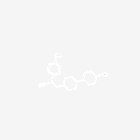 C#CC(CC1CCC(C2CCC(CCC)CC2)CC1)c1ccc(O)cc1